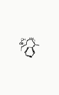 CC(C)c1ccccc1.CCCCN.OO